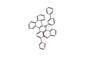 c1ccc(-c2ccc(-c3c(N(c4cccc(-c5ccccc5)c4)c4cccc5ccccc45)c4ccccc4c4ccccc34)cc2)cc1